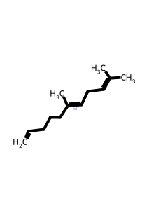 C=CCCC/C(C)=C/CC=C(C)C